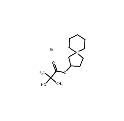 CC(C)(O)C(=O)OC1CC[N+]2(CCCCC2)C1.[Br-]